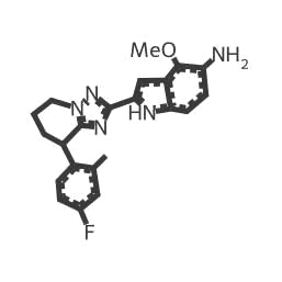 COc1c(N)ccc2[nH]c(-c3nc4n(n3)CCCC4c3ccc(F)cc3C)cc12